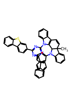 CC12C=Cc3c(n(-c4nc(-c5ccccc5)nc(-c5ccc6c(c5)sc5ccccc56)n4)c4ccccc34)C1N(c1cccc(-c3ccccc3)c1)c1ccccc12